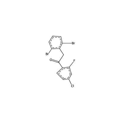 O=C(Cc1c(Br)cccc1Br)c1ccc(Cl)cc1F